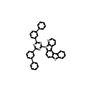 c1ccc(-c2cccc(-c3nc(-c4cccc(-c5ccccc5)c4)nc(-n4c5ccc6sc7ccccc7c6c5c5cccnc54)n3)c2)cc1